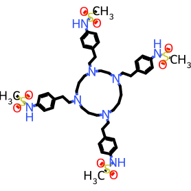 CS(=O)(=O)Nc1ccc(CCN2CCCCN(CCc3ccc(NS(C)(=O)=O)cc3)CCN(CCc3ccc(NS(C)(=O)=O)cc3)CCCN(CCc3ccc(NS(C)(=O)=O)cc3)CCC2)cc1